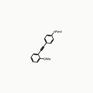 CCCCCc1ccc(C#Cc2ccccc2OC)cc1